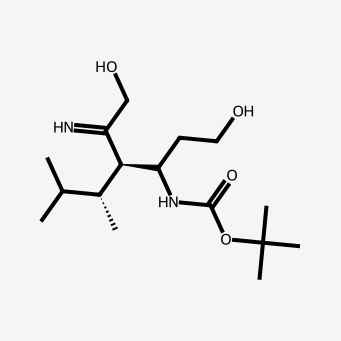 CC(C)[C@@H](C)[C@@H](C(=N)CO)C(CCO)NC(=O)OC(C)(C)C